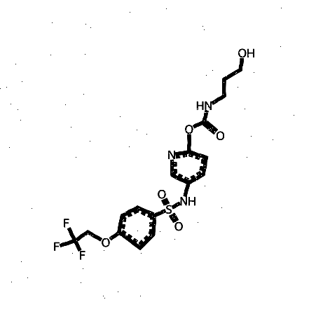 O=C(NCCCO)Oc1ccc(NS(=O)(=O)c2ccc(OCC(F)(F)F)cc2)cn1